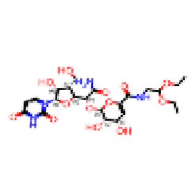 CCOC(CNC(=O)C1=C[C@H](O)[C@H](O)[C@@H](O[C@@H](C(N)=O)[C@H]2O[C@@H](n3ccc(=O)[nH]c3=O)[C@H](O)[C@@H]2CO)O1)OCC